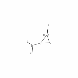 CC(C)C1C[C@@H]1I